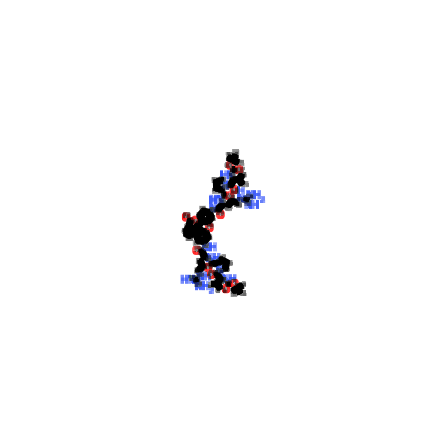 CC(C)[C@H](NC(=O)OC(C)(C)C)C(=O)N1CCCC1C(=O)N[C@@H](CCCNC(=N)N)C(=O)Nc1ccc2c(c1)Oc1cc(NC(=O)[C@H](CCCNC(=N)N)NC(=O)[C@@H]3CCCN3C(=O)[C@@H](NC(=O)OC(C)(C)C)C(C)C)ccc1C21OC(=O)c2ccccc21